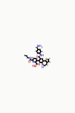 CCCNC(=O)c1ccc(-c2cc3c(cc2C(=O)Nc2ccc(CN)cc2)-c2sccc2CCN3)c(C(=O)O)n1